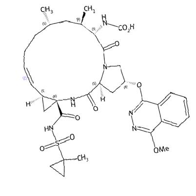 COc1nnc(O[C@@H]2C[C@H]3C(=O)N[C@]4(C(=O)NS(=O)(=O)C5(C)CC5)C[C@H]4/C=C\CC[C@H](C)C[C@@H](C)[C@H](NC(=O)O)C(=O)N3C2)c2ccccc12